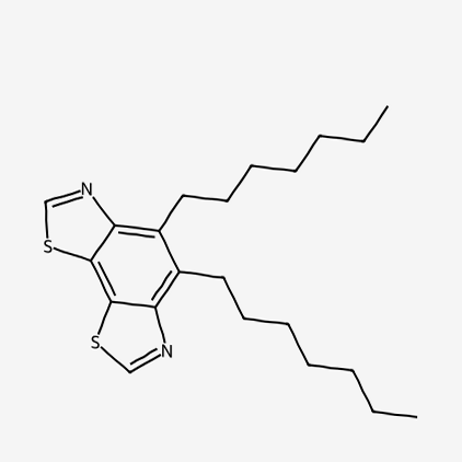 CCCCCCCc1c(CCCCCCC)c2ncsc2c2scnc12